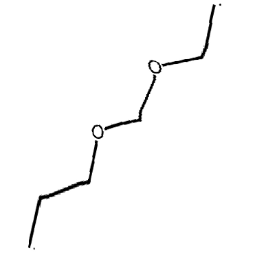 [CH2]CCOCOC[CH2]